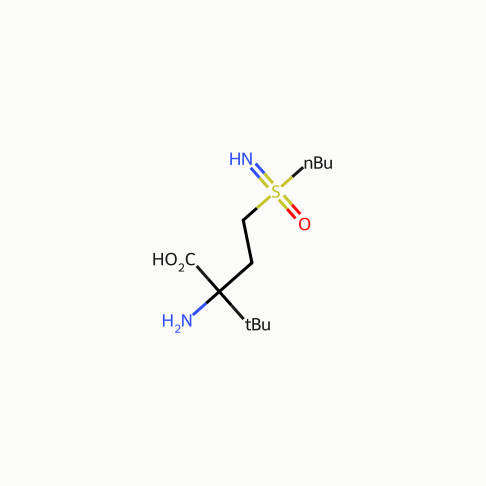 CCCCS(=N)(=O)CCC(N)(C(=O)O)C(C)(C)C